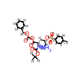 Cc1ccc(S(=O)(=O)OC(CN)C[C@H](NC(=O)OC(C)(C)C)C(=O)OC(=O)OCc2ccccc2)cc1